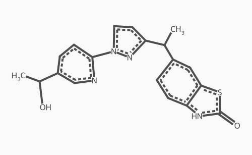 CC(O)c1ccc(-n2ccc(C(C)c3ccc4[nH]c(=O)sc4c3)n2)nc1